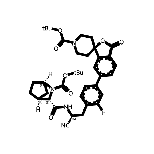 CC(C)(C)OC(=O)N1CCC2(CC1)OC(=O)c1ccc(-c3ccc(C[C@@H](C#N)NC(=O)[C@@H]4[C@H]5CC[C@H](C5)N4C(=O)OC(C)(C)C)c(F)c3)cc12